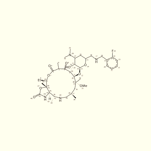 CC[C@H]1OC(=O)C(C)C(=O)[C@H](C)[C@@H](O[C@@H]2OC(CNCc3ccccc3F)CC(N(C)C)C2O)[C@](C)(OC)C[C@@H](C)CN[C@H](C)[C@H]2NC(=O)O[C@@]21C